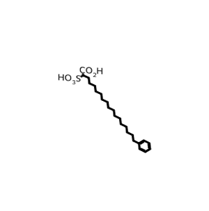 O=C(O)C(CCCCCCCCCCCCCCCCc1ccccc1)S(=O)(=O)O